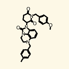 COc1ccc(CN2C(=O)CCC(n3c(=O)n4c5c(cccc53)N(Cc3ccc(C)cc3)CC4)C2=O)cc1